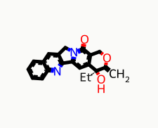 C=C1OCc2c(cc3n(c2=O)Cc2cc4ccccc4nc2-3)[C@@]1(O)CC